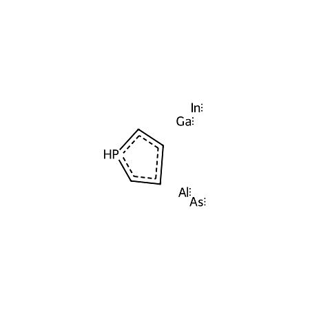 [Al].[As].[Ga].[In].c1cc[pH]c1